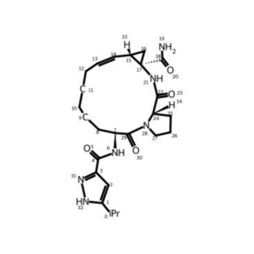 CC(C)c1cc(C(=O)N[C@H]2CCCCC/C=C\[C@@H]3C[C@@]3(C(N)=O)NC(=O)[C@@H]3CCCN3C2=O)n[nH]1